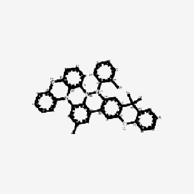 Cc1cc2c3c(c1)N1c4ccccc4Oc4cccc(c41)B3N(c1ccccc1C)c1cc3c(cc1-2)Oc1ccccc1C3(C)C